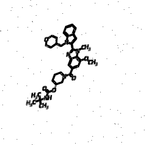 COc1cc(C(=O)N2CCC[C@@H](OC(=O)NC(C)(C)C)C2)cc2nc(-c3cc4ccccc4n3CC3CCOCC3)n(C)c12